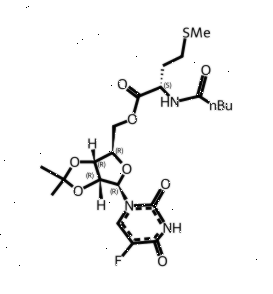 CCCCC(=O)N[C@@H](CCSC)C(=O)OC[C@H]1O[C@@H](n2cc(F)c(=O)[nH]c2=O)[C@@H]2OC(C)(C)O[C@@H]21